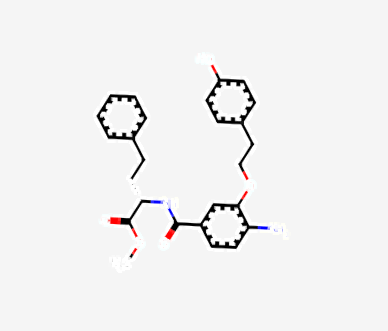 COC(=O)[C@H](CCc1ccccc1)NC(=O)c1ccc(N)c(OCCc2ccc(O)cc2)c1